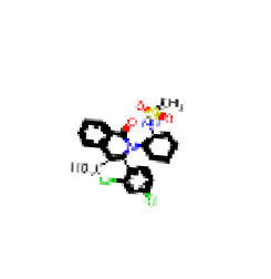 CS(=O)(=O)N[C@@H]1CCCC[C@H]1N1C(=O)c2ccccc2[C@@H](C(=O)O)[C@@H]1c1ccc(Cl)cc1Cl